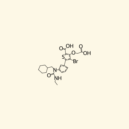 CCNC(=O)N(CC1CCCCC1)c1cccc(-c2sc(C(=O)O)c(OCC(=O)O)c2Br)c1